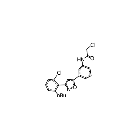 CCCCc1cccc(Cl)c1-c1cc(-c2cccc(NC(=O)CCl)c2)on1